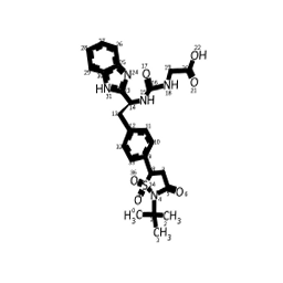 CC(C)(C)N1C(=O)CC(c2ccc(C[C@H](NC(=O)NCC(=O)O)c3nc4ccccc4[nH]3)cc2)S1(=O)=O